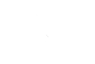 CCOC(O)CCCNC(=O)c1ccc(I)cc1